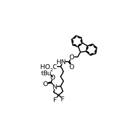 CC(C)(C)OC(=O)N1CC(F)(F)CC1CCCC(NC(=O)OCC1c2ccccc2-c2ccccc21)C(=O)O